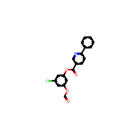 O=COc1cc(Cl)cc(OC(=O)c2ccc(-c3ccccc3)nc2)c1